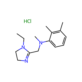 CCN1CCN=C1CN(C)c1cccc(C)c1C.Cl